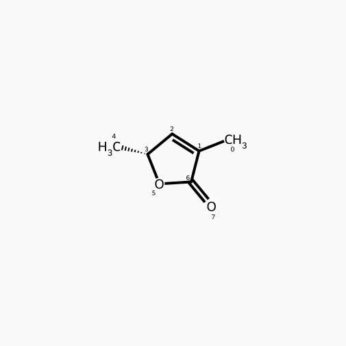 CC1=C[C@@H](C)OC1=O